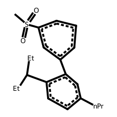 CCCc1ccc(C(CC)CC)c(-c2cccc(S(C)(=O)=O)c2)c1